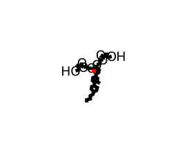 C=C(CO)C(=O)OCCOc1ccc(-c2ccc(C3CCC(CCCCC)CC3)c(C)c2)cc1OCCOC(=O)C(=C)CO